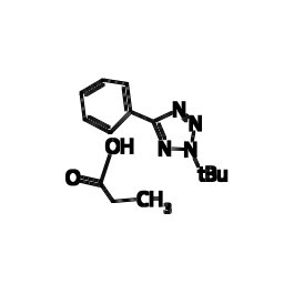 CC(C)(C)n1nnc(-c2ccccc2)n1.CCC(=O)O